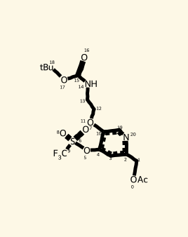 CC(=O)OCc1cc(OS(=O)(=O)C(F)(F)F)c(OCCNC(=O)OC(C)(C)C)cn1